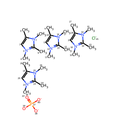 Cc1c[n+](C)c(C)n1C.Cc1c[n+](C)c(C)n1C.Cc1c[n+](C)c(C)n1C.Cc1c[n+](C)c(C)n1C.O=P([O-])([O-])[O-].[Cl-]